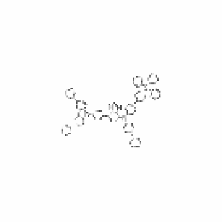 c1ccc(-c2ccc(N(c3ccc(-c4ccc([Si](c5ccccc5)(c5ccccc5)c5ccccc5)cc4)cc3)c3ccc(-c4ccc(-n5c6ccc(-c7ccccc7)cc6c6cc(-c7ccccc7)ccc65)cc4)c4nsnc34)cc2)cc1